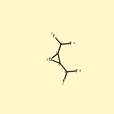 FC(F)C1OC1C(F)F